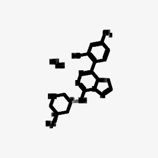 C[C@H]1CNC[C@H](Nc2nnc(-c3ccc(C(F)(F)F)cc3O)c3ccnn23)C1.Cl.Cl